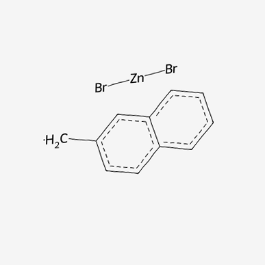 [Br][Zn][Br].[CH2]c1ccc2ccccc2c1